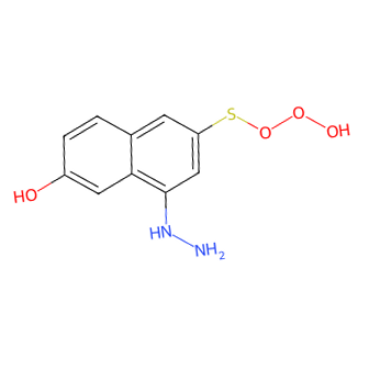 NNc1cc(SOOO)cc2ccc(O)cc12